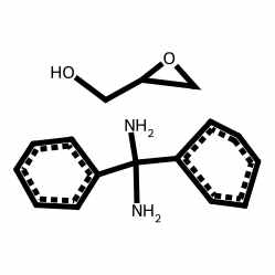 NC(N)(c1ccccc1)c1ccccc1.OCC1CO1